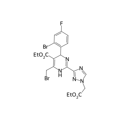 CCOC(=O)Cn1cnc(C2=NC(c3ccc(F)cc3Br)C(C(=O)OCC)=C(CBr)N2)n1